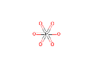 [O]=[Ir](=[O])(=[O])(=[O])(=[O])=[O]